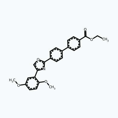 CCOC(=O)c1ccc(-c2ccc(-c3nc(-c4cc(OC)ccc4OC)co3)cc2)cc1